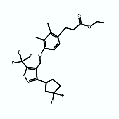 CCOC(=O)CCc1ccc(OCc2c(C3CCC(F)(F)C3)nsc2C(F)(F)F)c(C)c1C